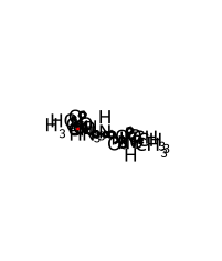 CC(C)(C)OC(=O)N[C@@H](C(=O)N1CCC[C@H]1C(=O)Nc1ccc2[nH]c(-c3ccc(NC(=O)[C@@H]4CCCN4C(=O)[C@@H](c4ccccc4)N(C(=O)O)C(C)(C)C)cc3)cc2c1)c1ccccc1